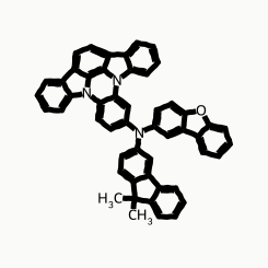 CC1(C)c2ccccc2-c2cc(N(c3ccc4oc5ccccc5c4c3)c3ccc4c(c3)n3c5ccccc5c5ccc6c7ccccc7n4c6c53)ccc21